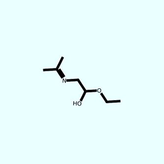 CCOC(O)CN=C(C)C